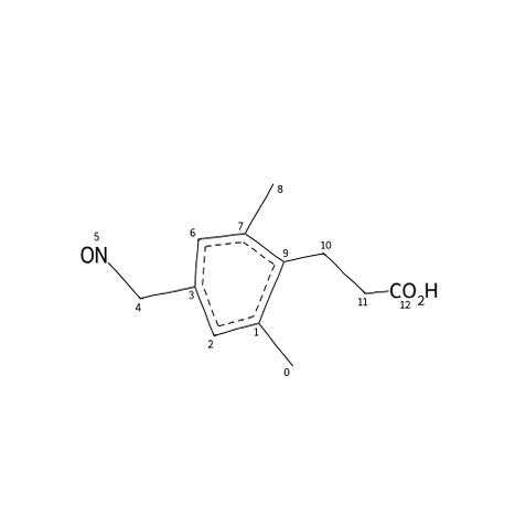 Cc1cc(CN=O)cc(C)c1CCC(=O)O